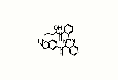 CCCC(O)Nc1ccccc1-c1nc(Nc2ccc3[nH]ncc3c2)c2ccccc2n1